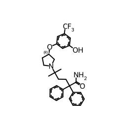 CC(C)(CCC(C(N)=O)(c1ccccc1)c1ccccc1)N1CC[C@@H](Oc2cc(O)cc(C(F)(F)F)c2)C1